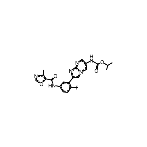 Cc1ncoc1C(=O)Nc1ccc(F)c(-c2cn3cc(NC(=O)OC(C)C)cnc3n2)c1